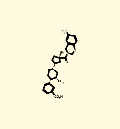 CC(C)[C@]1(C(=O)N2COc3ccc(C(F)(F)F)cc3C2)CC[C@@H](N2CC[C@@H](c3cccc(C(=O)O)c3)[C@@H](C)C2)C1